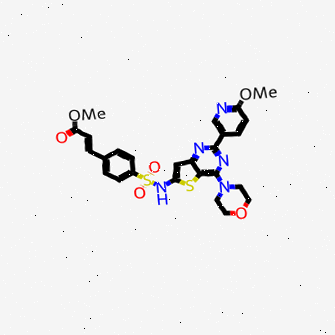 COC(=O)C=Cc1ccc(S(=O)(=O)Nc2cc3nc(-c4ccc(OC)nc4)nc(N4CCOCC4)c3s2)cc1